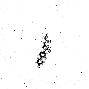 COC(=O)NCC1CN(c2ccc(N3C=CC(=O)CC3)c(F)c2)C(=O)O1